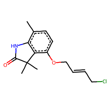 Cc1ccc(OCC=CCCl)c2c1NC(=O)C2(C)C